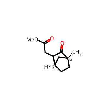 COC(=O)CC1C(=O)[C@@]2(C)CC[C@@H]1C2